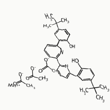 CC(=O)[O-].CC(=O)[O-].CC(=O)[O-].CC(C)(C)c1ccc(O)c(-c2cccc(-c3cccc(-c4cc(C(C)(C)C)ccc4O)n3)n2)c1.[Mn+3]